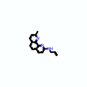 C=CCNc1ccc2ccc3ccc(C)nc3c2n1